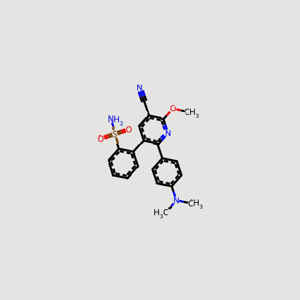 COc1nc(-c2ccc(N(C)C)cc2)c(-c2ccccc2S(N)(=O)=O)cc1C#N